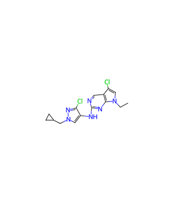 CCn1cc(Cl)c2cnc(Nc3cn(CC4CC4)nc3Cl)nc21